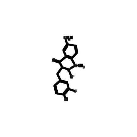 CN1c2ccc(C(=O)O)cc2C(=O)C(Cc2ccc(Cl)c(F)c2)[S+]1[O-]